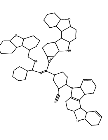 N#CC1CC(/C(=N/C(NCC2CCCC3SC4CCCCC4C23)C2CCCCC2)C2=C3C2CCC2C3NC3CCC4OC5CCCCC5C4C32)CCC1N1C2=C(C3CCC=CC31)C1C(CC2)OC2CCC=CC21